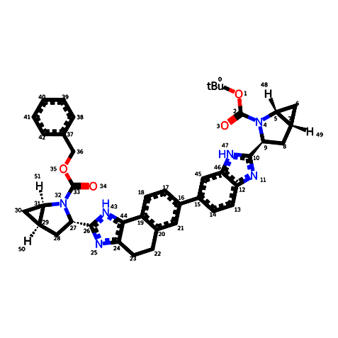 CC(C)(C)OC(=O)N1[C@@H]2C[C@@H]2C[C@H]1c1nc2ccc(-c3ccc4c(c3)CCc3nc([C@@H]5C[C@H]6C[C@H]6N5C(=O)OCc5ccccc5)[nH]c3-4)cc2[nH]1